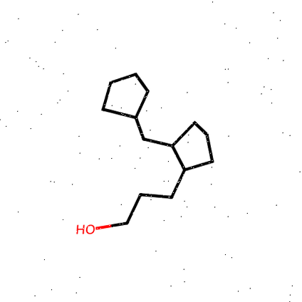 OCCCC1CCCC1CC1CCCC1